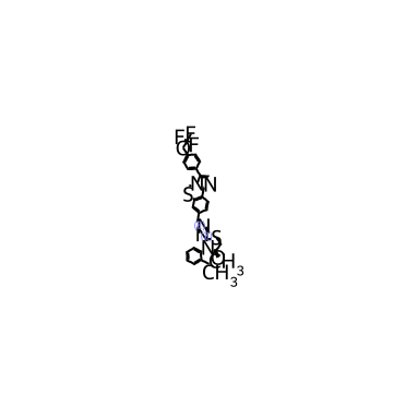 CC(C)c1ccccc1N1C(=O)CS/C1=N\N=C\c1ccc2c(c1)SCn1c(-c3ccc(OC(F)(F)F)cc3)cnc1-2